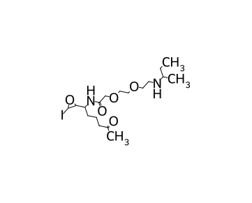 CCC(C)NCCOCCOCC(=O)NC(CCCC(C)=O)C1OC1I